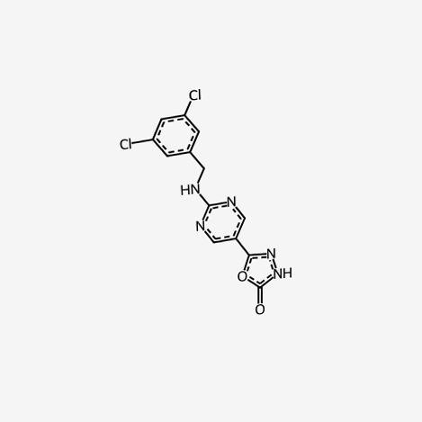 O=c1[nH]nc(-c2cnc(NCc3cc(Cl)cc(Cl)c3)nc2)o1